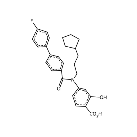 O=C(O)c1ccc(N(CCCC2CCCC2)C(=O)c2ccc(-c3ccc(F)cc3)cc2)cc1O